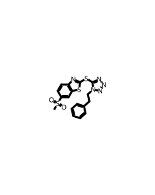 CS(=O)(=O)c1ccc2nc(Sc3nnnn3CCc3ccccc3)sc2c1